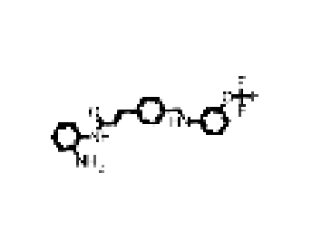 Nc1ccccc1NC(=O)C=Cc1ccc(CNc2cccc(OC(F)(F)F)c2)cc1